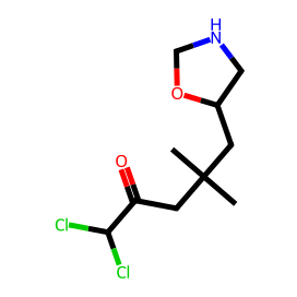 CC(C)(CC(=O)C(Cl)Cl)CC1CNCO1